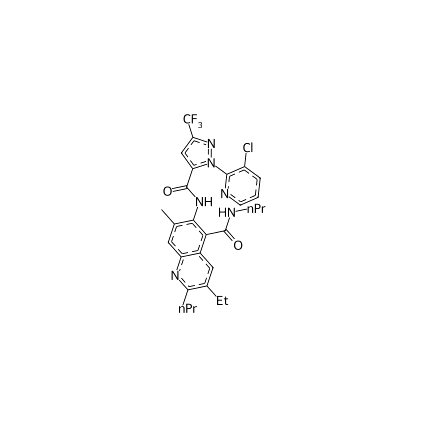 CCCNC(=O)c1c(NC(=O)c2cc(C(F)(F)F)nn2-c2ncccc2Cl)c(C)cc2nc(CCC)c(CC)cc12